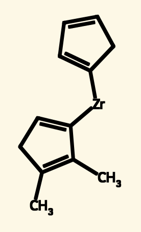 CC1=C(C)[C]([Zr][C]2=CC=CC2)=CC1